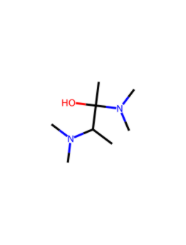 CC(N(C)C)C(C)(O)N(C)C